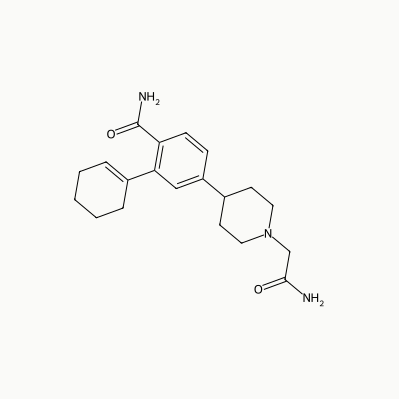 NC(=O)CN1CCC(c2ccc(C(N)=O)c(C3=CCCCC3)c2)CC1